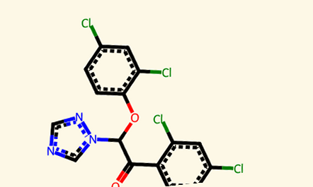 O=C(c1ccc(Cl)cc1Cl)C(Oc1ccc(Cl)cc1Cl)n1cncn1